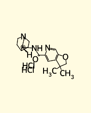 CC1(C)COc2cnc(C(=O)N[C@H]3CN4CCC3CC4)cc21.Cl.Cl